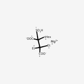 CCCCCCC(C(=O)[O-])(C(CC)(CC)C(=O)[O-])S(=O)(=O)O.[Mg+2]